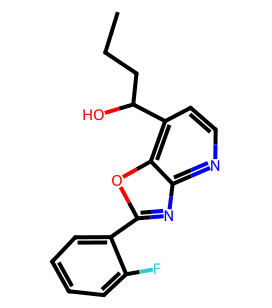 CCCC(O)c1ccnc2nc(-c3ccccc3F)oc12